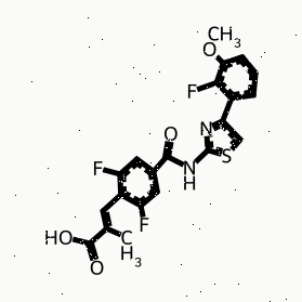 COc1cccc(-c2csc(NC(=O)c3cc(F)c(/C=C(\C)C(=O)O)c(F)c3)n2)c1F